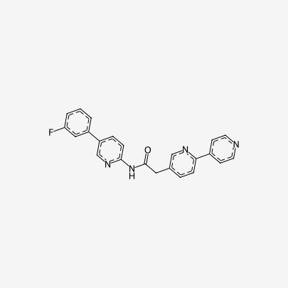 O=C(Cc1ccc(-c2ccncc2)nc1)Nc1ccc(-c2cccc(F)c2)cn1